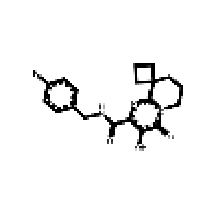 O=C(NCc1ccc(F)cc1)c1nc2n(c(=O)c1O)CCCC21CCC1